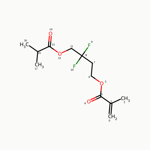 C=C(C)C(=O)OCCC(F)(F)COC(=O)C(C)C